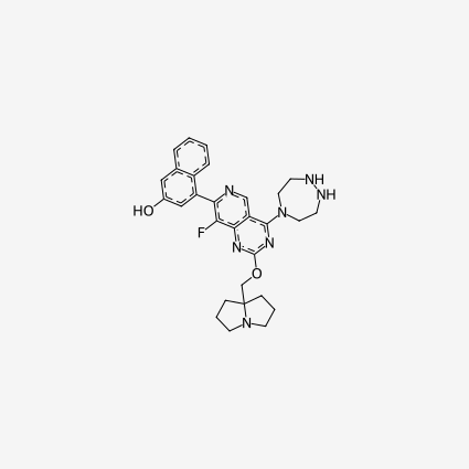 Oc1cc(-c2ncc3c(N4CCNNCC4)nc(OCC45CCCN4CCC5)nc3c2F)c2ccccc2c1